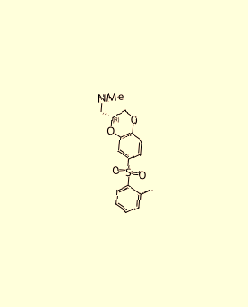 CNC[C@@H]1COc2ccc(S(=O)(=O)c3ccccc3C)cc2O1